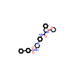 O=C(Nc1ccc(N2CCC(NS(=O)(=O)c3ccc(-c4ccccc4)cc3)CC2)cc1)/C(Cc1ccccc1)=N/OC1CCCCO1